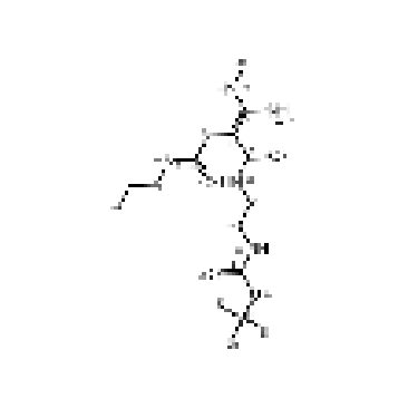 CCCNC(=O)C/C(C(=O)NCCNC(=O)OC(C)(C)C)=C(/N)NC